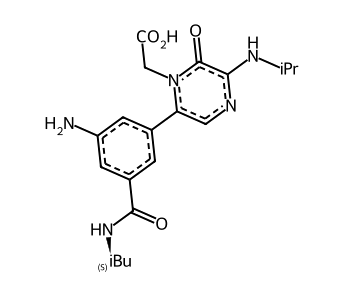 CC[C@H](C)NC(=O)c1cc(N)cc(-c2cnc(NC(C)C)c(=O)n2CC(=O)O)c1